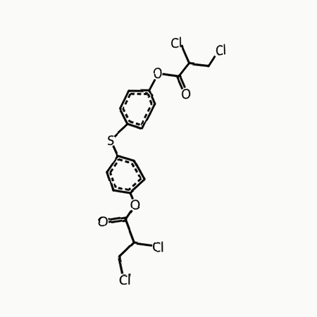 O=C(Oc1ccc(Sc2ccc(OC(=O)C(Cl)CCl)cc2)cc1)C(Cl)CCl